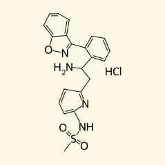 CS(=O)(=O)Nc1cccc(CC(N)c2ccccc2-c2noc3ccccc23)n1.Cl